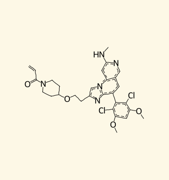 C=CC(=O)N1CCC(OCCc2cn3c(n2)c(-c2c(Cl)c(OC)cc(OC)c2Cl)cc2cnc(NC)cc23)CC1